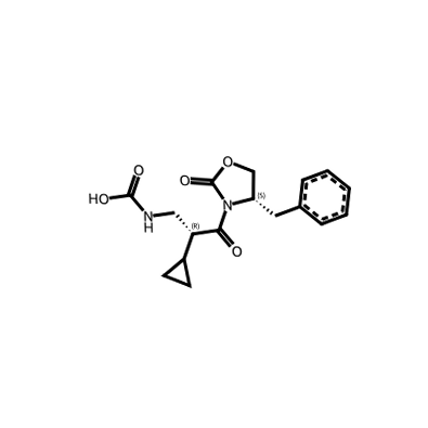 O=C(O)NC[C@H](C(=O)N1C(=O)OC[C@@H]1Cc1ccccc1)C1CC1